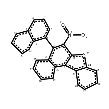 O=[N+]([O-])c1c(-c2cccc3ccccc23)c2ccccc2c2c1sc1ccccc12